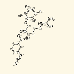 [N-]=[N+]=Nc1cccc(C(=O)NC(CCCNC(=N)N)C(=O)COc2c(F)c(F)cc(F)c2F)c1